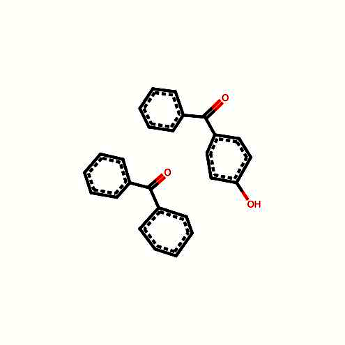 O=C(c1ccccc1)c1ccc(O)cc1.O=C(c1ccccc1)c1ccccc1